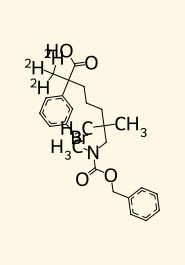 [2H]C([2H])([2H])C(CCCC(C)(C)CN(C)C(=O)OCc1ccccc1)(C(=O)O)c1cccc(Br)c1